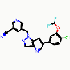 N#Cc1cncc(Cn2ncc3ncc(-c4ccc(Cl)c(OC(F)F)c4)cc32)c1